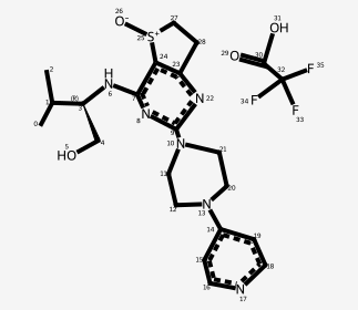 CC(C)[C@H](CO)Nc1nc(N2CCN(c3ccncc3)CC2)nc2c1[S+]([O-])CC2.O=C(O)C(F)(F)F